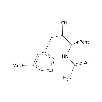 CCCCCC(NC(N)=S)C(C)Cc1cccc(OC)c1